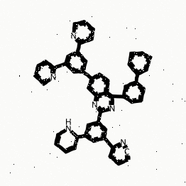 C1=CNC(c2cc(-c3ccccn3)cc(-c3nc(-c4cccc(-c5ccccc5)c4)c4ccc(-c5cc(-c6ccccn6)cc(-c6ccccn6)c5)cc4n3)c2)C=C1